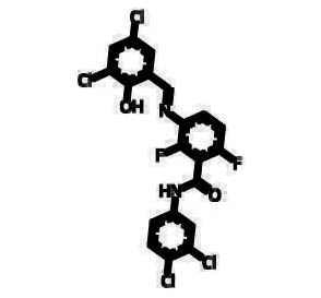 O=C(Nc1ccc(Cl)c(Cl)c1)c1c(F)ccc(/N=C/c2cc(Cl)cc(Cl)c2O)c1F